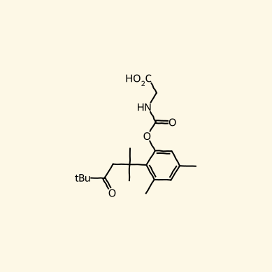 Cc1cc(C)c(C(C)(C)CC(=O)C(C)(C)C)c(OC(=O)NCC(=O)O)c1